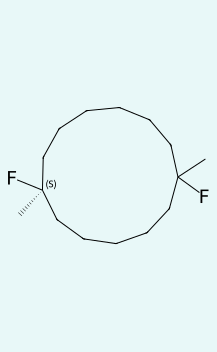 CC1(F)CCCCCC[C@](C)(F)CCCCC1